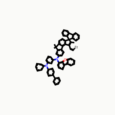 CC/C=C\C1=C(C)C2(c3ccccc3-c3ccccc32)c2ccc3c(c21)-c1ccc(N(c2cccc(N(c4ccccc4)c4ccc(-c5ccccc5)cc4)c2)c2cccc4c2oc2ccccc24)cc1C3(C)C